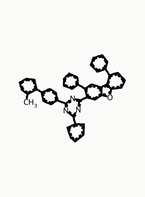 Cc1ccccc1-c1ccc(-c2nc(-c3ccccc3)nc(-c3cc4oc5cccc(-c6ccccc6)c5c4cc3-c3ccccc3)n2)cc1